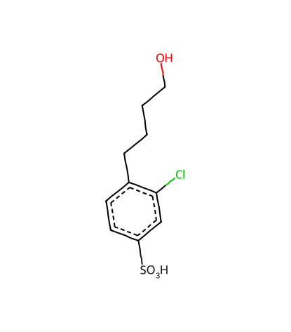 O=S(=O)(O)c1ccc(CCCCO)c(Cl)c1